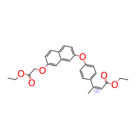 CCOC(=O)/C=C(/C)c1ccc(Oc2ccc3ccc(OCC(=O)OCC)cc3c2)cc1